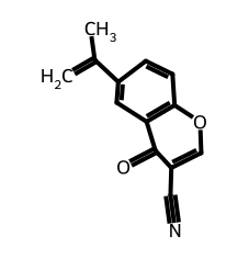 C=C(C)c1ccc2occ(C#N)c(=O)c2c1